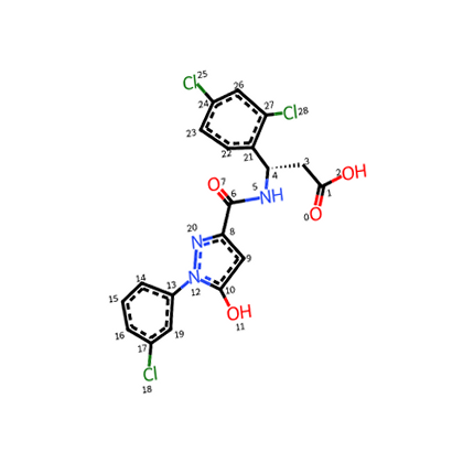 O=C(O)C[C@H](NC(=O)c1cc(O)n(-c2cccc(Cl)c2)n1)c1ccc(Cl)cc1Cl